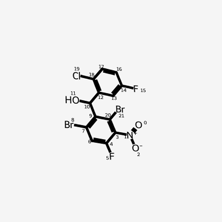 O=[N+]([O-])c1c(F)cc(Br)c(C(O)c2cc(F)ccc2Cl)c1Br